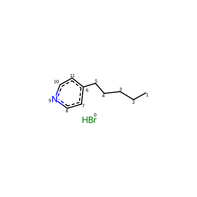 Br.CCCCCc1ccncc1